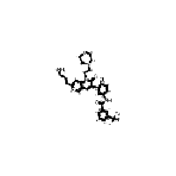 NCCCc1cc2c(cn1)cc(-c1cc(NC(=O)c3cccc(C(F)(F)F)c3)ccc1Cl)c(=O)n2CCN1CCOCC1